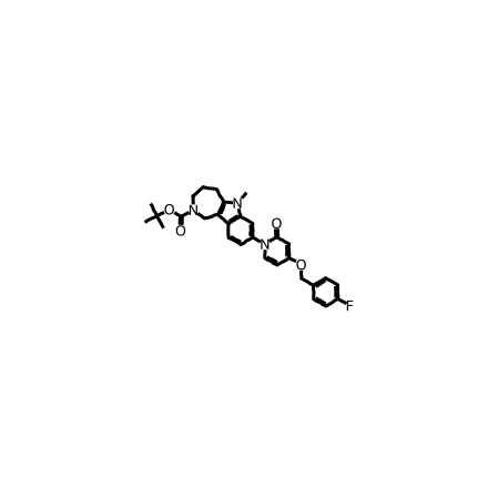 Cn1c2c(c3ccc(-n4ccc(OCc5ccc(F)cc5)cc4=O)cc31)CN(C(=O)OC(C)(C)C)CCC2